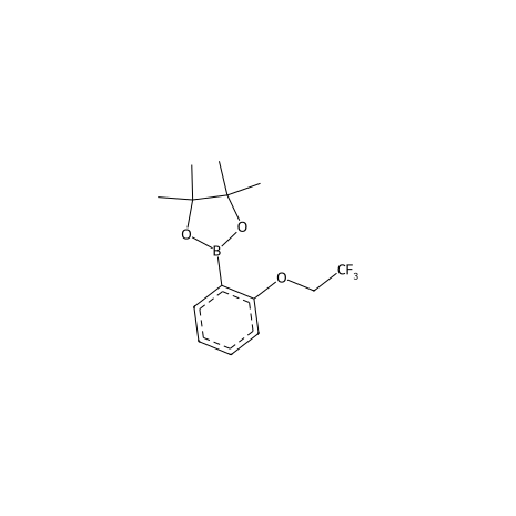 CC1(C)OB(c2ccccc2OCC(F)(F)F)OC1(C)C